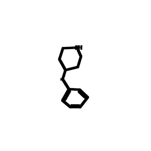 [C](c1ccccc1)C1CCNCC1